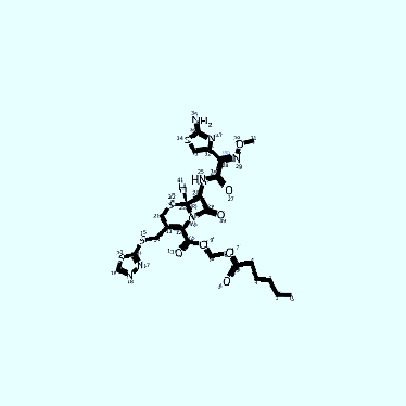 CCCCCC(=O)OCOC(=O)C1=C(CSc2nncs2)CS[C@@H]2C(NC(=O)/C(=N/OC)c3csc(N)n3)C(=O)N12